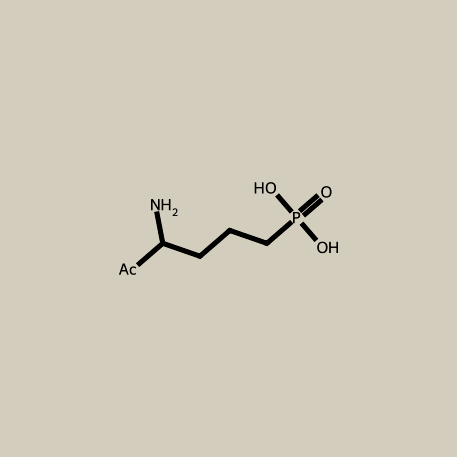 CC(=O)C(N)CCCP(=O)(O)O